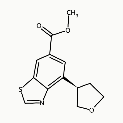 COC(=O)c1cc([C@H]2CCOC2)c2ncsc2c1